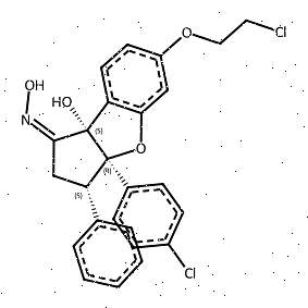 ON=C1C[C@@H](c2ccccc2)[C@]2(c3ccc(Cl)cc3)Oc3cc(OCCCl)ccc3[C@]12O